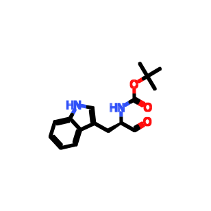 CC(C)(C)OC(=O)N[C@@H](C=O)Cc1c[nH]c2ccccc12